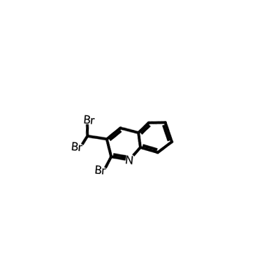 Brc1nc2ccccc2cc1C(Br)Br